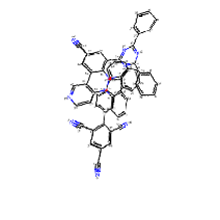 N#Cc1cc(C#N)c(-c2ccc3c(c2)c2ccccc2n3-c2c(-c3nc(-c4ccccc4)nc(-c4ccccc4)n3)cc(C#N)cc2-c2cnccc2-n2c3ccccc3c3ccccc32)c(C#N)c1